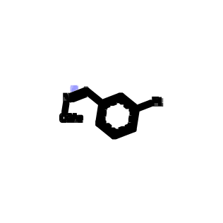 CCc1cccc(/[C]=N\OC)c1